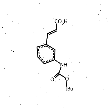 CC(C)(C)OC(=O)Nc1cccc(/C=C/C(=O)O)c1